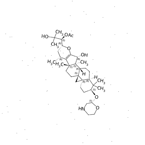 CC(=O)O[C@@H]([C@H]1C[C@@H](C)C2=C(O1)[C@H](O)[C@@]1(C)[C@@H]3CC[C@H]4C(C)(C)[C@@H](O[C@H]5CNCCO5)CC[C@@]45C[C@@]35CC[C@]21C)C(C)(C)O